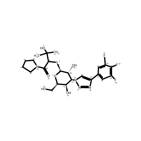 CC(C)(O)C(S[C@@H]1O[C@H](CO)[C@H](O)[C@H](n2cc(-c3cc(F)c(F)c(F)c3)nn2)[C@H]1O)C(=O)N1CCCC1